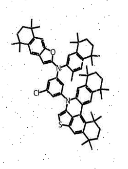 Cc1cc2c(cc1N(c1cc(Cl)cc(N3c4cc5c(cc4-c4c6c(cc7scc3c47)C(C)(C)CCC6(C)C)C(C)(C)CCC5(C)C)c1)c1cc3cc4c(cc3o1)C(C)(C)CCC4(C)C)C(C)(C)CCC2(C)C